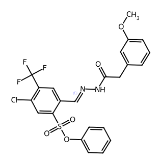 COc1cccc(CC(=O)N/N=C/c2cc(C(F)(F)F)c(Cl)cc2S(=O)(=O)Oc2ccccc2)c1